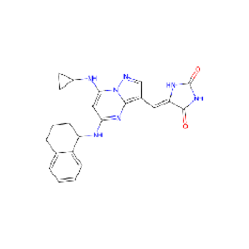 O=C1NC(=O)/C(=C/c2cnn3c(NC4CC4)cc(NC4CCCc5ccccc54)nc23)N1